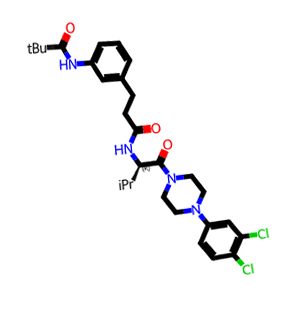 CC(C)[C@@H](NC(=O)CCc1cccc(NC(=O)C(C)(C)C)c1)C(=O)N1CCN(c2ccc(Cl)c(Cl)c2)CC1